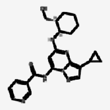 O=C(Nc1cc(N[C@@H]2CCCC[C@H]2CO)nc2c(C3CC3)cnn12)c1cccnc1